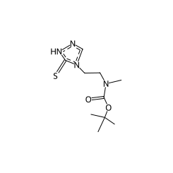 CN(CCn1cn[nH]c1=S)C(=O)OC(C)(C)C